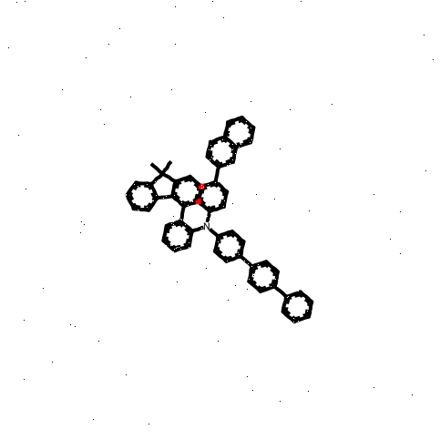 CC1(C)c2ccccc2-c2c(-c3ccccc3N(c3ccc(-c4ccc(-c5ccccc5)cc4)cc3)c3ccc(-c4ccc5ccccc5c4)cc3)cccc21